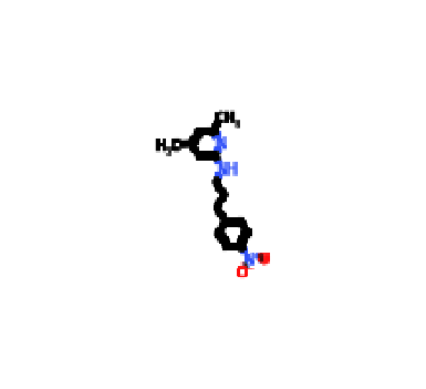 Cc1cc(C)nc(NCCCc2ccc([N+](=O)[O-])cc2)c1